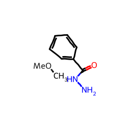 COC.NNC(=O)c1ccccc1